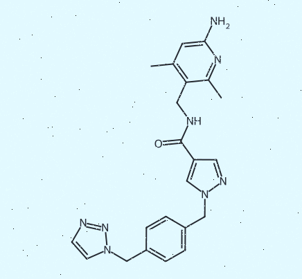 Cc1cc(N)nc(C)c1CNC(=O)c1cnn(Cc2ccc(Cn3ccnn3)cc2)c1